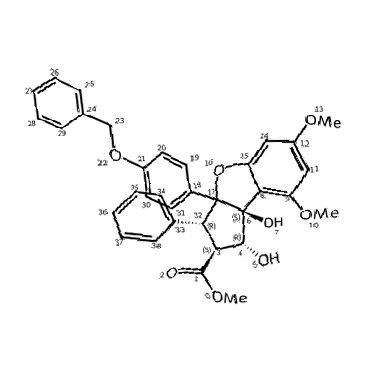 COC(=O)[C@@H]1[C@@H](O)[C@@]2(O)c3c(OC)cc(OC)cc3OC2(c2ccc(OCc3ccccc3)cc2)[C@H]1c1ccccc1